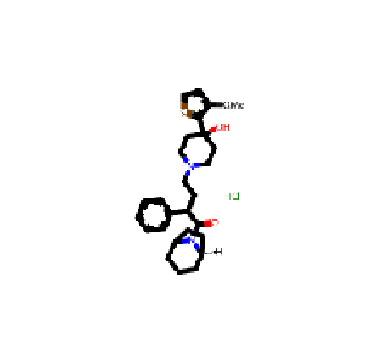 COc1ccsc1C1(O)CCN(CCC(C(=O)N2C3CCC[C@@H]2CC3)c2ccccc2)CC1.Cl